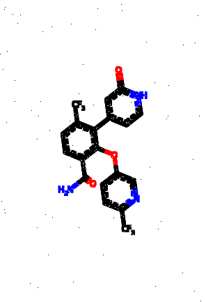 NC(=O)c1ccc(C(F)(F)F)c(-c2cc[nH]c(=O)c2)c1Oc1ccc(C(F)(F)F)nc1